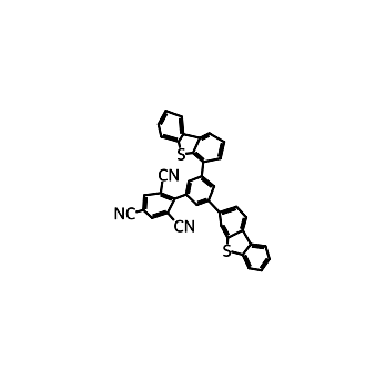 N#Cc1cc(C#N)c(-c2cc(-c3ccc4c(c3)sc3ccccc34)cc(-c3cccc4c3sc3ccccc34)c2)c(C#N)c1